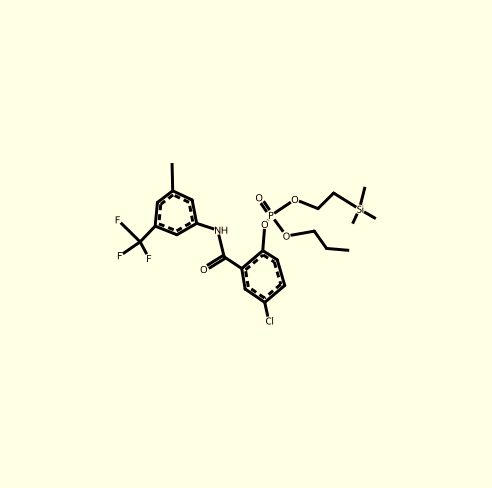 CCCOP(=O)(OCC[Si](C)(C)C)Oc1ccc(Cl)cc1C(=O)Nc1cc(C)cc(C(F)(F)F)c1